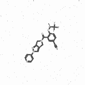 C[C@H](Oc1ccc(C#N)cc1C(=O)N1Cc2cn(-c3ccncc3)nc2C1)C(F)(F)F